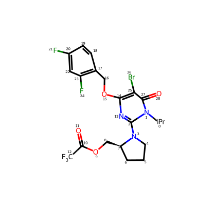 CC(C)n1c(N2CCC[C@H]2COC(=O)C(F)(F)F)nc(OCc2ccc(F)cc2F)c(Br)c1=O